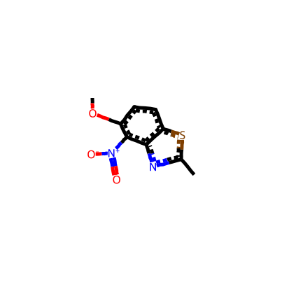 COc1ccc2sc(C)nc2c1[N+](=O)[O-]